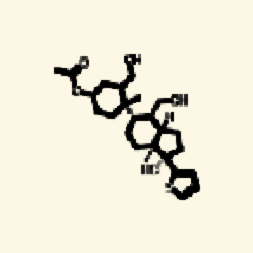 CC(=O)OC1CCC(C)([C@H]2CC[C@@]3(C)[C@@H](CC[C@@]3(O)c3cccs3)[C@@H]2CO)C(CO)C1